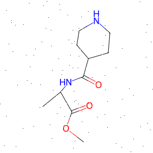 COC(=O)C(C)NC(=O)C1CCNCC1